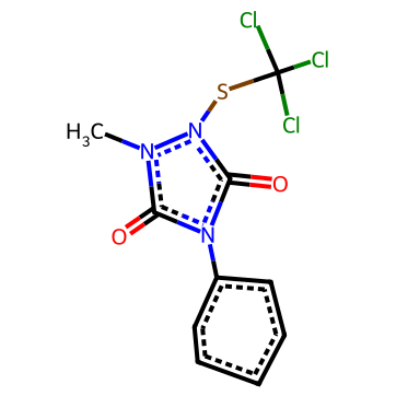 Cn1c(=O)n(-c2ccccc2)c(=O)n1SC(Cl)(Cl)Cl